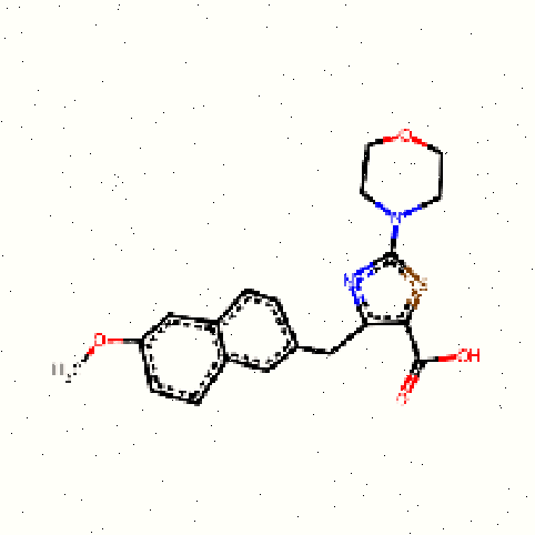 COc1ccc2cc(Cc3nc(N4CCOCC4)sc3C(=O)O)ccc2c1